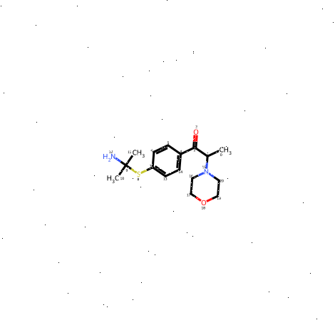 CC(C(=O)c1ccc(SC(C)(C)N)cc1)N1CCOCC1